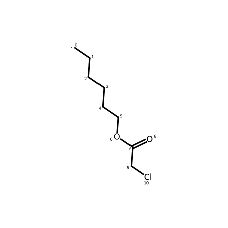 [CH2]CCCCCOC(=O)CCl